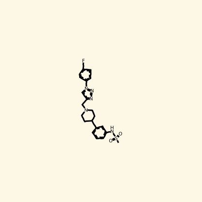 CS(=O)(=O)Nc1cccc(C2CCN(Cc3cn(-c4ccc(F)cc4)nn3)CC2)c1